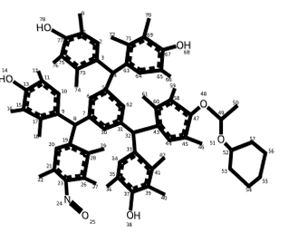 Cc1cc(C(c2cc(C(c3cc(C)c(O)c(C)c3C)c3cc(C)c(N=O)c(C)c3C)cc(C(c3cc(C)c(O)c(C)c3C)c3cc(C)c(OC(C)OC4CCCCC4)c(C)c3C)c2)c2cc(C)c(O)c(C)c2C)c(C)c(C)c1O